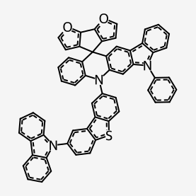 c1ccc(-n2c3ccccc3c3cc4c(cc32)N(c2ccc3sc5ccc(-n6c7ccccc7c7ccccc76)cc5c3c2)c2ccccc2C42c3ccoc3-c3occc32)cc1